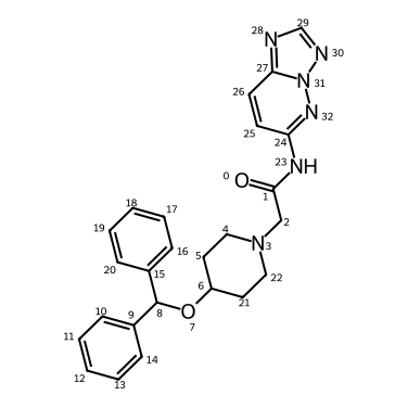 O=C(CN1CCC(OC(c2ccccc2)c2ccccc2)CC1)Nc1ccc2ncnn2n1